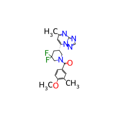 COc1ccc(C(=O)N2C[C@@H](c3cc(C)nc4ncnn34)CC(F)(F)C2)cc1C